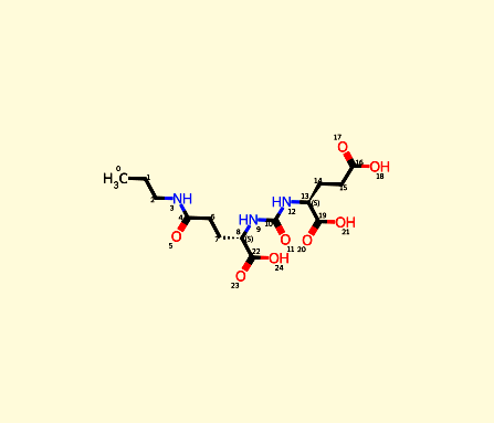 CCCNC(=O)CC[C@H](NC(=O)N[C@@H](CCC(=O)O)C(=O)O)C(=O)O